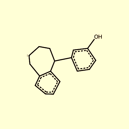 Oc1cccc(C2CC[C]Cc3ccccc32)c1